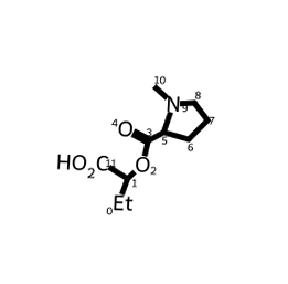 CCC(OC(=O)C1CCCN1C)C(=O)O